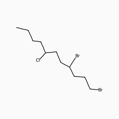 CCCCC(Cl)CCC(Br)CCCBr